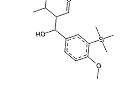 COc1ccc(C(O)C(C=O)C(C)C)cc1[Si](C)(C)C